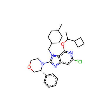 CC1CCC(Cn2c(N3CCOC[C@H]3c3ccccc3)nc3cc(Cl)nc(OC(C)C4CCC4)c32)CC1